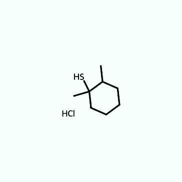 CC1CCCCC1(C)S.Cl